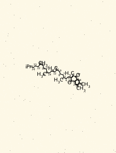 CC1=C(CCC(C)CCCC(C)CCCC(C)CCCC(C)CCCC(C)C)C(=O)c2cc(C)c(C)cc2C1=O